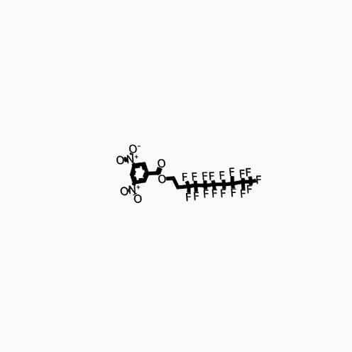 O=C(OCCC(F)(F)C(F)(F)C(F)(F)C(F)(F)C(F)(F)C(F)(F)C(F)(F)C(F)(F)F)c1cc([N+](=O)[O-])cc([N+](=O)[O-])c1